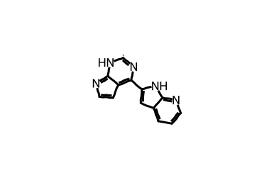 [c]1nc(-c2cc3cccnc3[nH]2)c2ccnc-2[nH]1